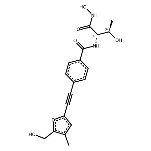 Cc1cc(C#Cc2ccc(C(=O)N[C@H](C(=O)NO)[C@@H](C)O)cc2)oc1CO